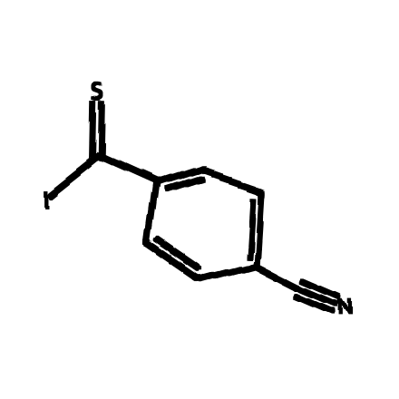 N#Cc1ccc(C(=S)I)cc1